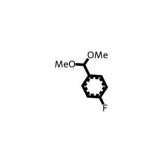 COC(OC)c1ccc(F)cc1